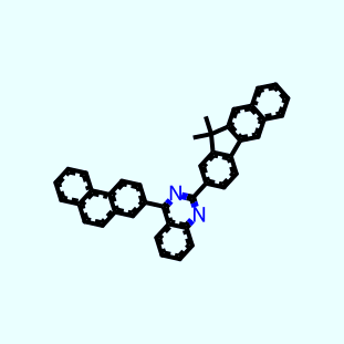 CC1(C)c2cc(-c3nc(-c4ccc5c(ccc6ccccc65)c4)c4ccccc4n3)ccc2-c2cc3ccccc3cc21